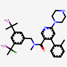 Cc1ccccc1-c1cc(N2CCNCC2)ncc1C(=O)N(C)Cc1cc(C(C)(C)P)cc(C(C)(F)P)c1